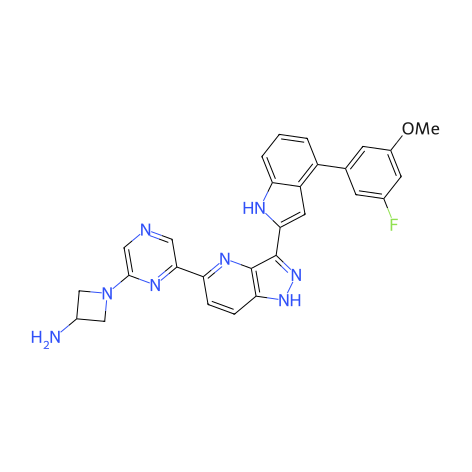 COc1cc(F)cc(-c2cccc3[nH]c(-c4n[nH]c5ccc(-c6cncc(N7CC(N)C7)n6)nc45)cc23)c1